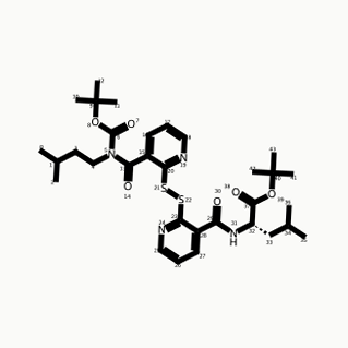 CC(C)CCN(C(=O)OC(C)(C)C)C(=O)c1cccnc1SSc1ncccc1C(=O)N[C@@H](CC(C)C)C(=O)OC(C)(C)C